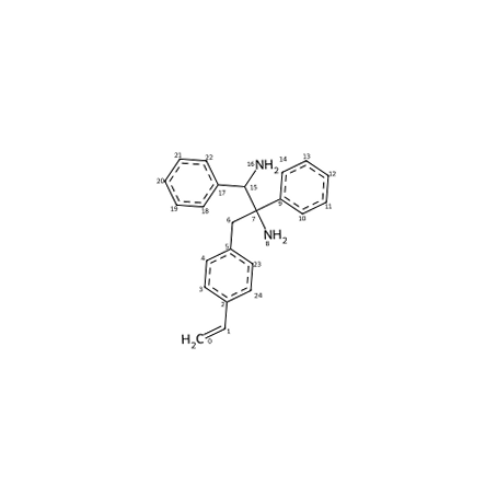 C=Cc1ccc(CC(N)(c2ccccc2)C(N)c2ccccc2)cc1